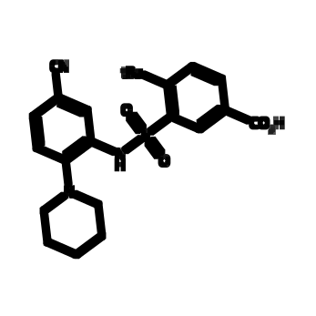 CC(C)(C)c1ccc(C(=O)O)cc1S(=O)(=O)Nc1cc(C#N)ccc1N1CCCCC1